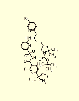 CC(C)(C)OC(=O)N1C[C@@H](CCC(Cc2ccc(Br)cn2)Nc2cccc(S(=O)(=O)NC(=O)c3ccc(C(C)(C)C)nc3F)n2)CC1(C)C